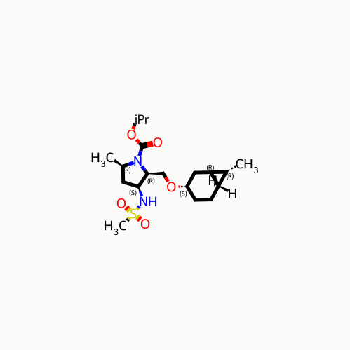 CC(C)OC(=O)N1[C@H](C)C[C@H](NS(C)(=O)=O)[C@@H]1CO[C@H]1CC[C@H]2[C@@H](C)[C@H]2C1